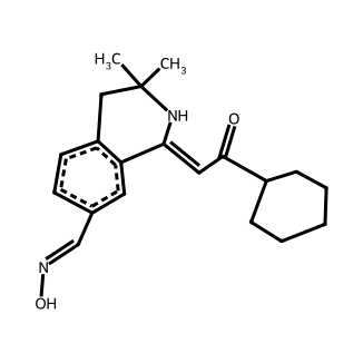 CC1(C)Cc2ccc(C=NO)cc2C(=CC(=O)C2CCCCC2)N1